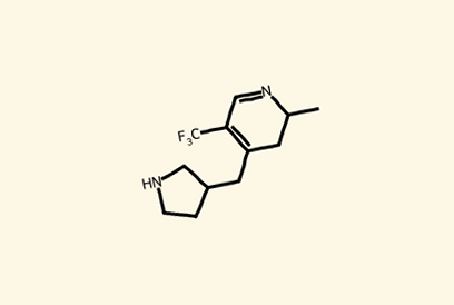 CC1CC(CC2CCNC2)=C(C(F)(F)F)C=N1